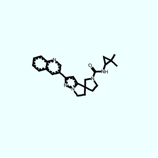 CC1(C)CC1NC(=O)N1CCC2(CCn3nc(-c4cnc5ccccc5c4)cc32)C1